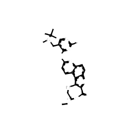 CC[C@@H]1CNc2c(sc3ccc4nc(Oc5nc(Cl)ncc5CN(C)C(C)(C)C)ccc4c23)C(=O)N1